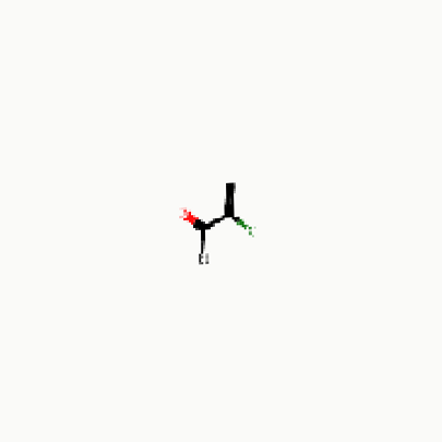 C=C(Cl)C(=O)CC